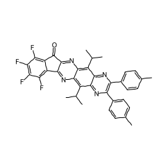 Cc1ccc(-c2nc3c(C(C)C)c4nc5c(nc4c(C(C)C)c3nc2-c2ccc(C)cc2)-c2c(F)c(F)c(F)c(F)c2C5=O)cc1